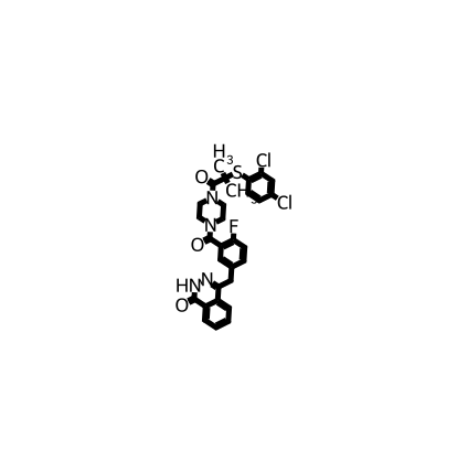 CC(C)(Sc1ccc(Cl)cc1Cl)C(=O)N1CCN(C(=O)c2cc(Cc3n[nH]c(=O)c4ccccc34)ccc2F)CC1